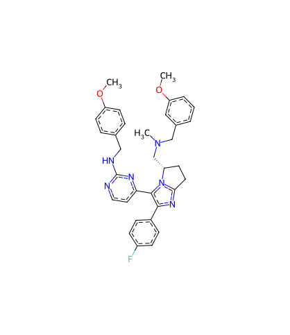 COc1ccc(CNc2nccc(-c3c(-c4ccc(F)cc4)nc4n3[C@H](CN(C)Cc3cccc(OC)c3)CC4)n2)cc1